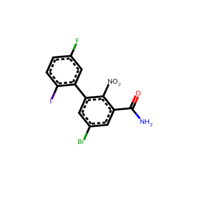 NC(=O)c1cc(Br)cc(-c2cc(F)ccc2I)c1[N+](=O)[O-]